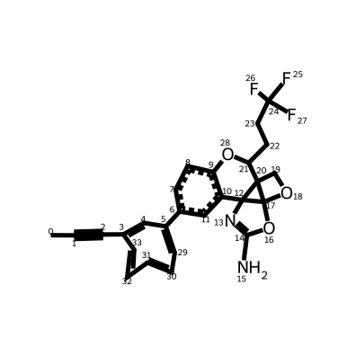 CC#CC1=C/C(c2ccc3c(c2)C24N=C(N)OC25OCC54C(CCC(F)(F)F)O3)=C\C=C\C=C\1